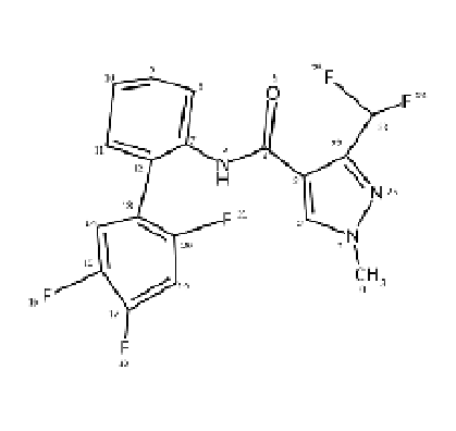 Cn1cc(C(=O)Nc2ccccc2-c2cc(F)c(F)cc2F)c(C(F)F)n1